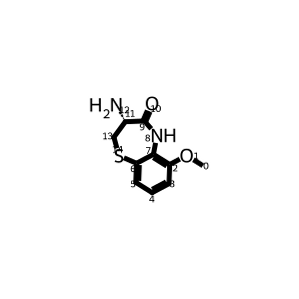 COc1cccc2c1NC(=O)[C@@H](N)CS2